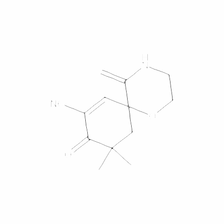 C=C1NCCOC12C=C(C#N)C(=O)C(C)(C)C2